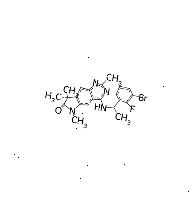 Cc1nc(NC(C)c2cccc(Br)c2F)c2cc3c(cc2n1)C(C)(C)C(=O)N3C